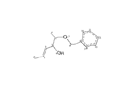 CC=CC(O)C(C)OCc1ccccc1